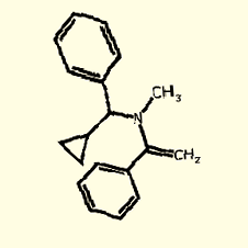 C=C(c1ccccc1)N(C)C(c1ccccc1)C1CC1